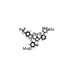 COCC(CN)n1cccc(N2C[C@@H](c3c(F)cc(OC)cc3F)[C@H](NC(=O)c3ccc(OC(F)F)cc3)C2=O)c1=O